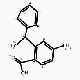 Cc1ccc(C(=O)O)c(C(C)c2ccccc2)c1